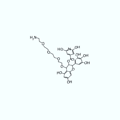 NCCOCCOCCOCCOC1c2c(O)cc(O)cc2OC(c2cc(O)c(O)c(O)c2)C1OC(=O)c1cc(O)nc(O)c1